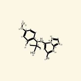 CC(C)c1cc(N[C@H](c2ccc(OC(F)(F)F)cc2F)C(C)(C)O)n2ncnc2n1